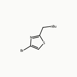 CCCCCc1nc(Br)cs1